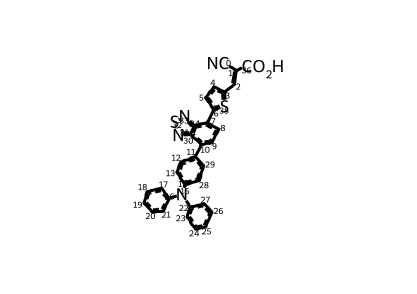 N#C/C(=C\c1ccc(-c2ccc(-c3ccc(N(c4ccccc4)c4ccccc4)cc3)c3nsnc23)s1)C(=O)O